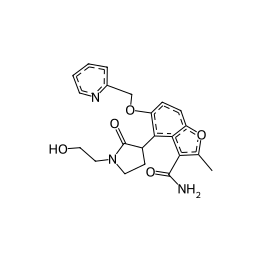 Cc1oc2ccc(OCc3ccccn3)c(C3CCN(CCO)C3=O)c2c1C(N)=O